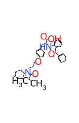 CC(C)C(=O)N(CCCOc1ccc(C[C@H](Nc2ccccc2C(=O)c2ccccc2)C(=O)O)cc1)c1ccccc1